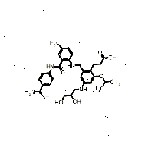 Cc1ccc(NCc2cc(NCC(O)CO)cc(OC(C)C)c2CCC(=O)O)c(C(=O)Nc2ccc(C(=N)N)cc2)c1